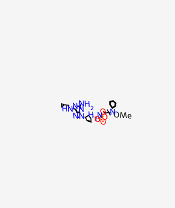 CON(c1ccccc1)C(C)(C)C(=O)OP(N)(=O)OC[C@@H]1C=C[C@H](n2cnc3c(NCC4CC4)nc(N)nc32)C1